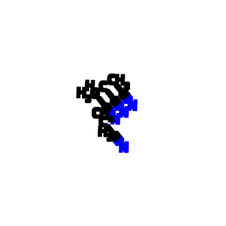 C.CC#N.CC#N.CC#N.CC#N